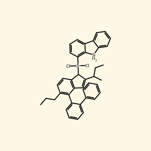 CCCc1ccc2c(c1-c1ccccc1-c1ccccc1)C=C(C(C)CC)[CH]2[Zr]([Cl])([Cl])[c]1cccc2c1[SiH2]c1ccccc1-2